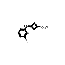 O=C(O)C1CC(Nc2cc[c]c(F)c2)C1